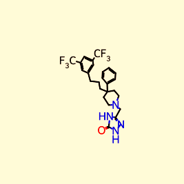 O=c1[nH]nc(CN2CCC(CCCc3cc(C(F)(F)F)cc(C(F)(F)F)c3)(c3ccccc3)CC2)[nH]1